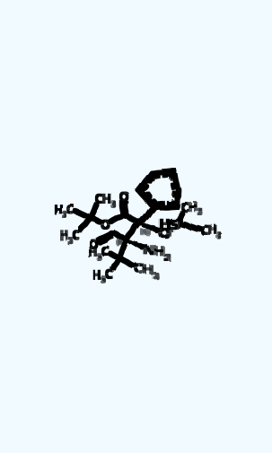 C[SiH](C)O[C@@](C(=O)OC(C)(C)C)(c1ccccc1)[C@@](N)(C=O)C(C)(C)C